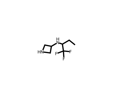 CCC(NC1CNC1)C(F)(F)F